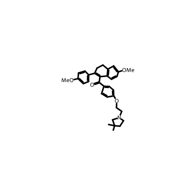 COc1ccc(C2=C(C(=O)c3ccc(OCCN4CCC(C)(C)C4)cc3)c3ccc(OC)cc3CC2)cc1